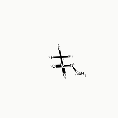 O=S(=O)([O][SbH2])C(F)(F)F